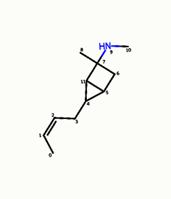 C/C=C\CC1C2CC(C)(NC)C12